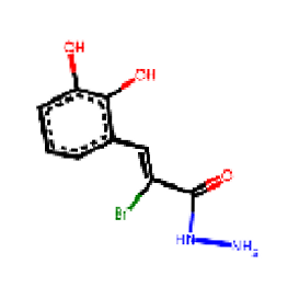 NNC(=O)C(Br)=Cc1cccc(O)c1O